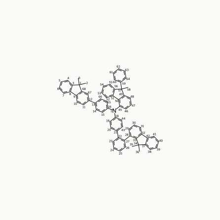 CC1(C)c2ccccc2-c2ccc(-c3ccc(N(c4ccc(-c5ccccc5-c5cccc6c5C(C)(C)c5ccccc5-6)cc4)c4cccc5c4-c4ccccc4C5(C)c4ccccc4)cc3)cc21